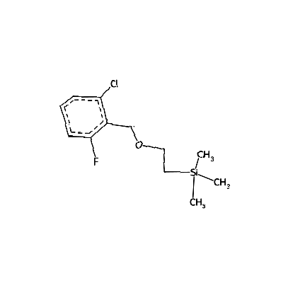 C[Si](C)(C)CCO[CH]c1c(F)cccc1Cl